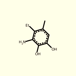 CCc1c(C)cc(O)c(O)c1N